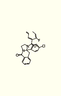 C=C/C=C(C(=O)N1CCN2C(=O)c3ccccc3CC12c1ccc(Cl)cc1)\C(F)=C/C